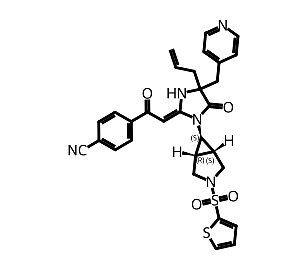 C=CCC1(Cc2ccncc2)NC(=CC(=O)c2ccc(C#N)cc2)N([C@H]2[C@@H]3CN(S(=O)(=O)c4cccs4)C[C@@H]32)C1=O